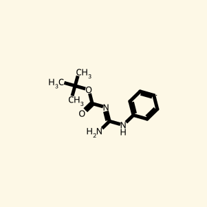 CC(C)(C)OC(=O)N=C(N)Nc1cc[c]cc1